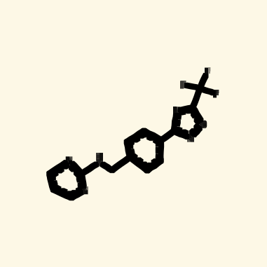 FC(F)(F)c1nc(-c2ccc(CNc3ncccn3)cc2)no1